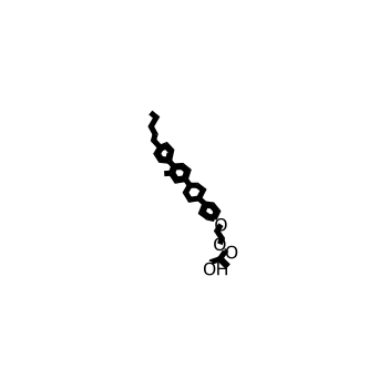 C=C(CO)C(=O)OCCOc1ccc(C2CCC(c3ccc(-c4ccc(CCCCC)cc4)c(C)c3)CC2)cc1